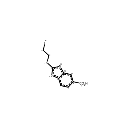 O=C(O)c1ccc2sc(SCCF)nc2c1